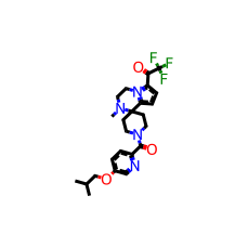 CC(C)COc1ccc(C(=O)N2CCC3(CC2)c2ccc(C(=O)C(F)(F)F)n2CCN3C)nc1